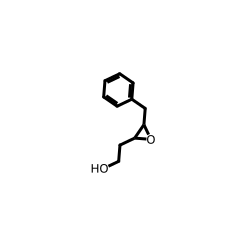 OCCC1OC1Cc1ccccc1